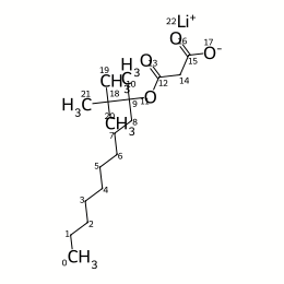 CCCCCCCCCC(C)(OC(=O)CC(=O)[O-])C(C)(C)C.[Li+]